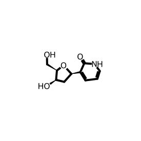 O=c1[nH]cccc1[C@H]1C[C@@H](O)[C@@H](CO)O1